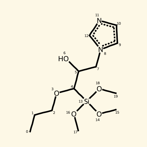 CCCOC(C(O)Cn1ccnc1)[Si](OC)(OC)OC